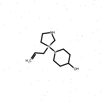 C=CC[N+]1(N2CCC(O)CC2)CCNC1